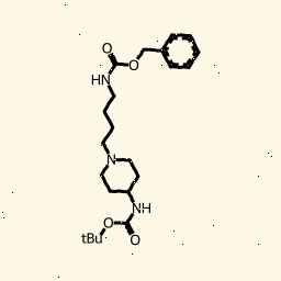 CC(C)(C)OC(=O)NC1CCN(CCCCNC(=O)OCc2ccccc2)CC1